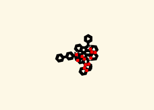 c1ccc(-c2ccc(N(c3ccc(-c4cccc5ccccc45)cc3)c3cccc4c3C3(c5ccccc5-c5c(-c6ccccc6)sc(-c6ccccc6)c53)c3c(-c5ccccc5)sc(-c5ccccc5)c3-4)cc2)cc1